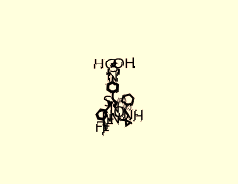 N#CC1(NC(=O)[C@@H]2CCCC[C@H]2c2nc(-c3cccc(C(F)(F)F)n3)sc2-c2ccc(N3CCS(O)(O)CC3)cc2)CC1